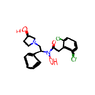 O=C(Cc1c(Cl)cccc1Cl)N(O)C(CN1CCC(O)C1)c1ccccc1